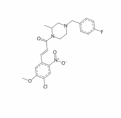 COc1cc(C=CC(=O)N2CCN(Cc3ccc(F)cc3)CC2C)c([N+](=O)[O-])cc1Cl